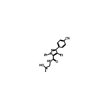 CCc1c(-c2ccc(C#N)cc2)nn(C(C)C)c1C(=O)NC[C@@H](C)O